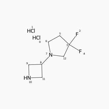 Cl.Cl.FC1(F)CCN(C2CNC2)C1